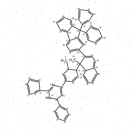 CC1C=C(C2=NC(c3ccccc3)NC(c3ccccc3)=N2)C=CC1C1(C)C(c2ccc3c(c2)C(c2ccccc2)(c2ccccc2)c2ccccc2-3)=CC=C2C=CC=CC21